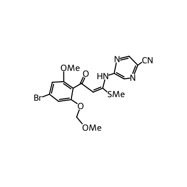 COCOc1cc(Br)cc(OC)c1C(=O)C=C(Nc1cnc(C#N)cn1)SC